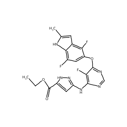 CCOC(=O)c1cc(Nc2ncnc(Oc3cc(F)c4[nH]c(C)cc4c3F)c2F)n[nH]1